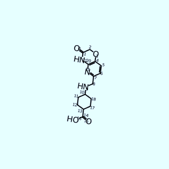 O=C1COc2ccc(CNC3CCC(C(=O)O)CC3)nc2N1